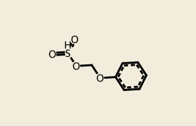 O=[SH](=O)OCOc1ccccc1